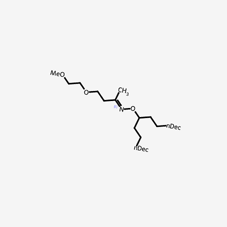 CCCCCCCCCCCCC(CCCCCCCCCCCC)O/N=C(\C)CCOCCOC